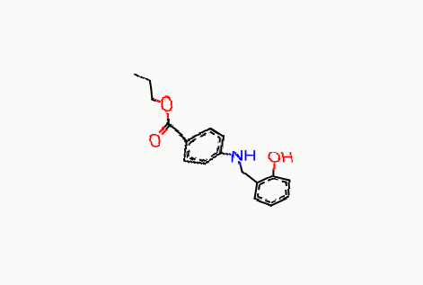 CCCOC(=O)c1ccc(NCc2ccccc2O)cc1